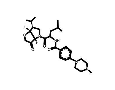 CC(C)CC(NC(=O)c1ccc(N2CCN(C)CC2)cc1)C(=O)N1C[C@H](C(C)C)[C@H]2OCC(=O)[C@H]21